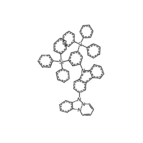 C1=CN2c3ccccc3N(c3ccc4c(c3)c3ccccc3n4-c3cc([Si](c4ccccc4)(c4ccccc4)c4ccccc4)cc([Si](c4ccccc4)(c4ccccc4)c4ccccc4)c3)N2C=C1